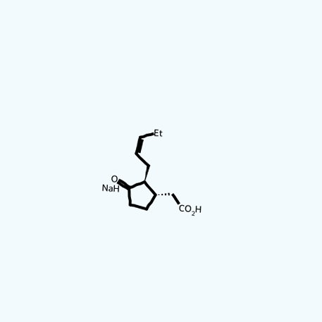 CC/C=C\C[C@@H]1C(=O)CC[C@H]1CC(=O)O.[NaH]